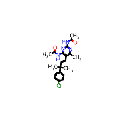 CC(=O)Nc1nc(C)c(C=CC(C)(C)c2ccc(Cl)cc2)c(NC(C)=O)n1